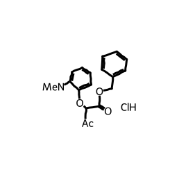 CNc1ccccc1OC(C(C)=O)C(=O)OCc1ccccc1.Cl